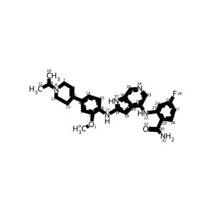 COc1cc(C2=CCN(C(C)C)CC2)ccc1Nc1cc2c(Nc3cc(F)ccc3C(N)=O)cncc2[nH]1